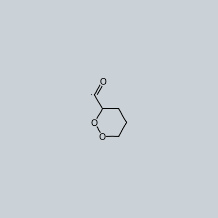 O=[C]C1CCCOO1